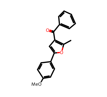 COc1ccc(-c2cc(C(=O)c3ccccc3)c(C)o2)cc1